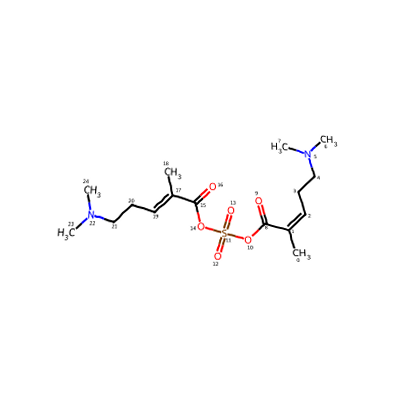 CC(=CCCN(C)C)C(=O)OS(=O)(=O)OC(=O)C(C)=CCCN(C)C